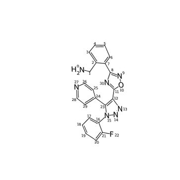 NCc1ccccc1-c1noc(-c2nnn(-c3ccccc3F)c2-c2ccncc2)n1